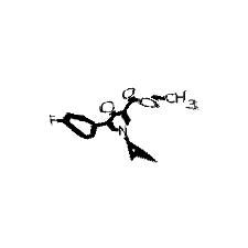 CCOC(=O)c1cn(C2CC2)cc(-c2ccc(F)cc2)c1=O